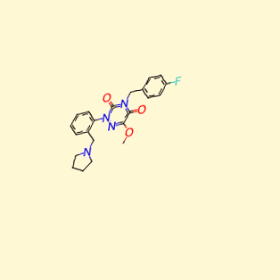 COc1nn(-c2ccccc2CN2CCCC2)c(=O)n(Cc2ccc(F)cc2)c1=O